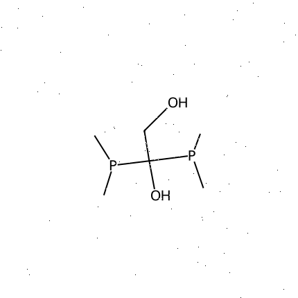 CP(C)C(O)(CO)P(C)C